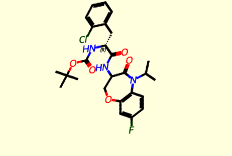 CC(C)N1C(=O)C(NC(=O)[C@@H](Cc2ccccc2Cl)NC(=O)OC(C)(C)C)COc2cc(F)ccc21